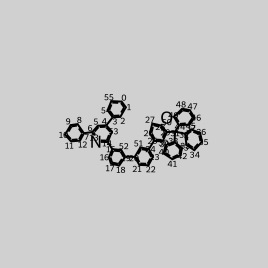 c1ccc(-c2cc(-c3ccccc3)nc(-c3cccc(-c4cccc(-c5ccc6c(c5)C(c5ccccc5)(c5ccccc5)c5ccccc5O6)c4)c3)c2)cc1